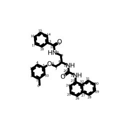 Cc1cccc(OCC(CNC(=O)c2ccccc2)NC(=O)Nc2cccc3ccccc23)c1